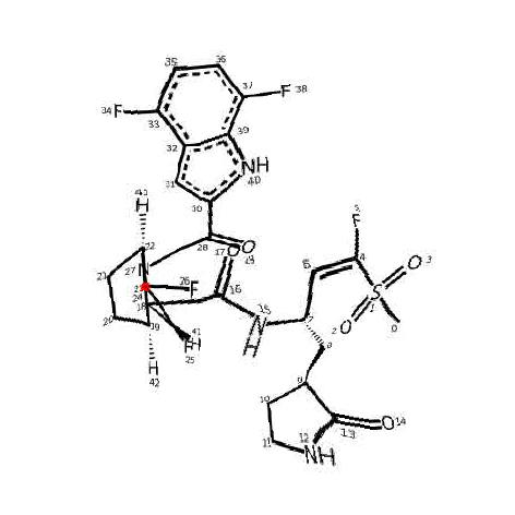 CS(=O)(=O)/C(F)=C\[C@H](C[C@@H]1CCNC1=O)NC(=O)[C@@H]1[C@H]2CC[C@H](CC2(F)F)N1C(=O)c1cc2c(F)ccc(F)c2[nH]1